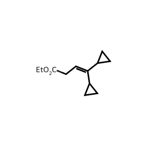 CCOC(=O)CC=C(C1CC1)C1CC1